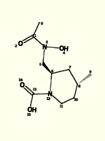 CC(=O)N(O)C[C@H]1C[C@H](C)CCN1C(=O)O